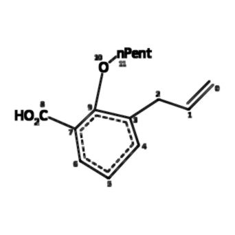 C=CCc1cccc(C(=O)O)c1OCCCCC